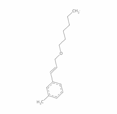 [CH2]CCCCCOCC=Cc1cccc(C)c1